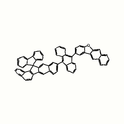 c1ccc2c(c1)-c1ccccc1C21c2cc3cc(-c4c5ccccc5c(-c5ccc6oc7cc8ccccc8cc7c6c5)c5ccccc45)ccc3cc2-c2ccc3ccccc3c21